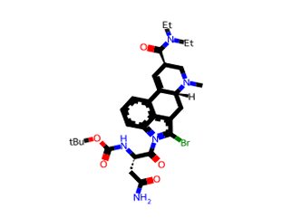 CCN(CC)C(=O)[C@@H]1C=C2c3cccc4c3c(c(Br)n4C(=O)[C@H](CC(N)=O)NC(=O)OC(C)(C)C)C[C@H]2N(C)C1